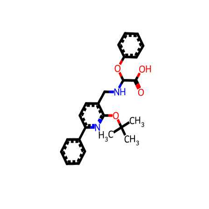 CC(C)(C)Oc1nc(-c2ccccc2)ccc1CNC(Oc1ccccc1)C(=O)O